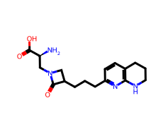 N[C@@H](CN1CC(CCCc2ccc3c(n2)NCCC3)C1=O)C(=O)O